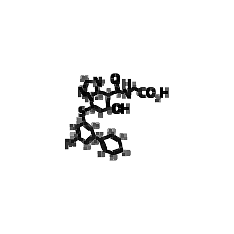 O=C(O)CNC(=O)c1c(O)cc(Sc2cc(F)cc(-c3ccccc3)c2)n2ncnc12